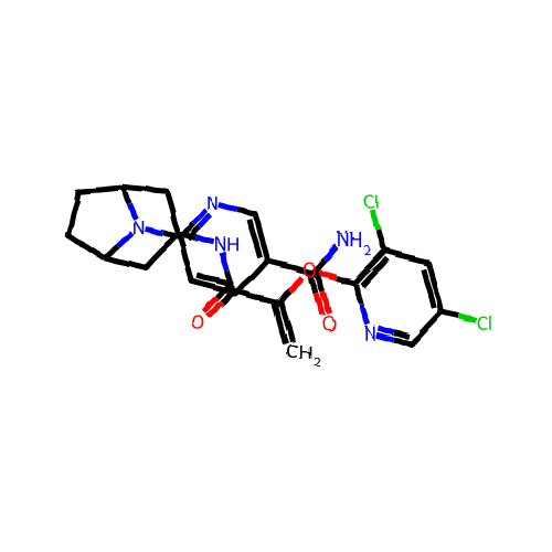 C=C(Oc1ncc(Cl)cc1Cl)C(=O)NC1CC2CCC(C1)N2c1ccc(C(N)=O)cn1